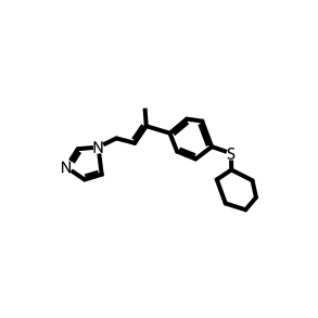 CC(=CCn1ccnc1)c1ccc(SC2CCCCC2)cc1